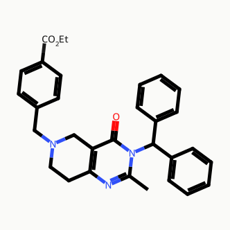 CCOC(=O)c1ccc(CN2CCc3nc(C)n(C(c4ccccc4)c4ccccc4)c(=O)c3C2)cc1